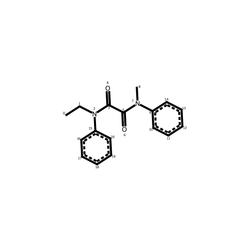 CCN(C(=O)C(=O)N(C)c1ccccc1)c1ccccc1